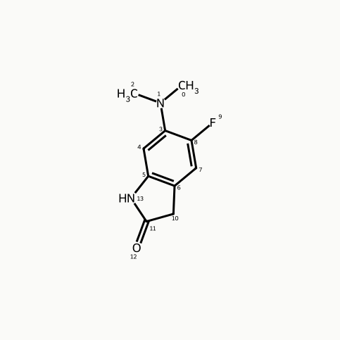 CN(C)c1cc2c(cc1F)CC(=O)N2